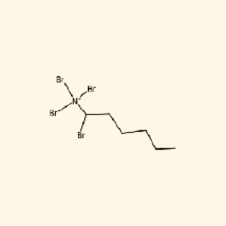 CCCCCC(Br)[N+](Br)(Br)Br